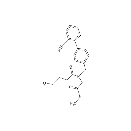 CCCCC(=O)N(CC(=O)OC)Cc1ccc(-c2ccccc2C#N)cc1